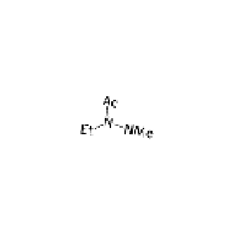 CCN(NC)C(C)=O